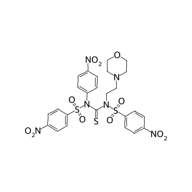 O=[N+]([O-])c1ccc(N(C(=S)N(CCN2CCOCC2)S(=O)(=O)c2ccc([N+](=O)[O-])cc2)S(=O)(=O)c2ccc([N+](=O)[O-])cc2)cc1